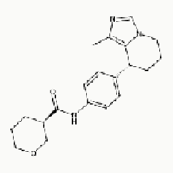 Cc1ncn2c1[C@@H](c1ccc(NC(=O)[C@@H]3CCCOC3)cc1)CCC2